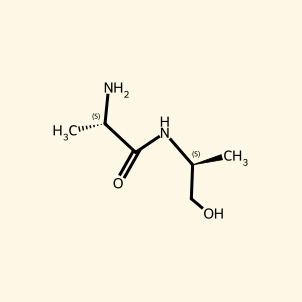 C[C@H](N)C(=O)N[C@@H](C)CO